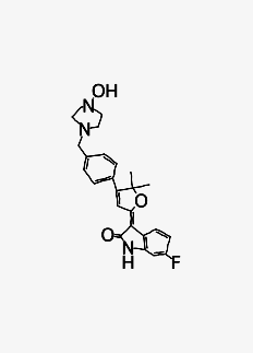 CC1(C)O/C(=C2/C(=O)Nc3cc(F)ccc32)C=C1c1ccc(CN2CCN(O)CC2)cc1